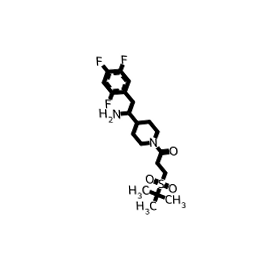 CC(C)(C)S(=O)(=O)CCC(=O)N1CCC(C(N)Cc2cc(F)c(F)cc2F)CC1